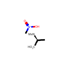 CN[C@@H](C)C(=O)O.C[N+](=O)O